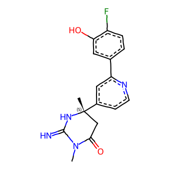 CN1C(=N)N[C@](C)(c2ccnc(-c3ccc(F)c(O)c3)c2)CC1=O